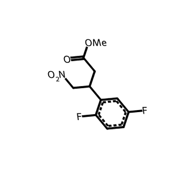 COC(=O)CC(C[N+](=O)[O-])c1cc(F)ccc1F